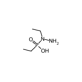 CCN(N)P(=O)(O)CC